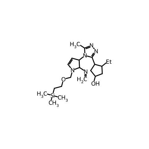 C=NC1C(n2c(C)nnc2C2CC(O)CC2CC)C=CN1COCC[Si](C)(C)C